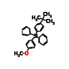 COc1ccc([Si](c2ccccc2)(c2ccccc2)c2ccc(C(C)(C)C)cc2)cc1